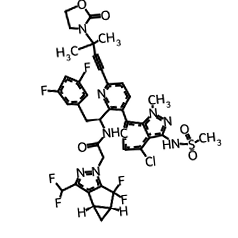 Cn1nc(NS(C)(=O)=O)c2c(Cl)ccc(-c3ccc(C#CC(C)(C)N4CCOC4=O)nc3[C@H](Cc3cc(F)cc(F)c3)NC(=O)Cn3nc(C(F)F)c4c3C(F)(F)[C@@H]3C[C@H]43)c21